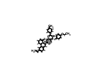 CCOc1ccc(C[C@@H](NC(=O)c2ccc(C)cc2)C(=O)N[C@@H](Cc2ccccn2)C(=O)NCc2ccc(CN)cc2)cc1